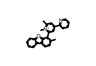 Cc1ccc2c(oc3ccccc32)c1-c1cc(-c2ccccn2)cc(C)[n+]1C